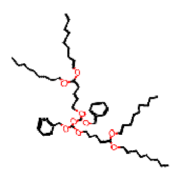 CCCCCCCCCOC(CCCCOC(OCc1ccccc1)OC(OCCCCC(OCCCCCCCCC)OCCCCCCCCC)OCc1ccccc1)OCCCCCCCCC